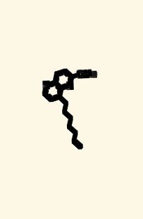 C=CCCCCCc1ccnc2ccc(OC)nc12